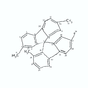 Cc1ccc2c(c1)C1(c3cc(C)ccc3-2)c2cc(F)ccc2-c2cccc(C)c21